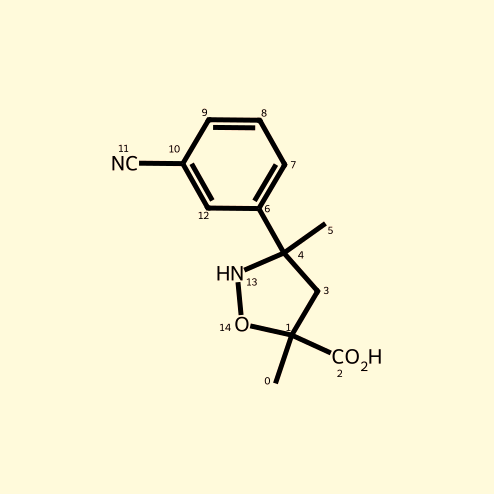 CC1(C(=O)O)CC(C)(c2cccc(C#N)c2)NO1